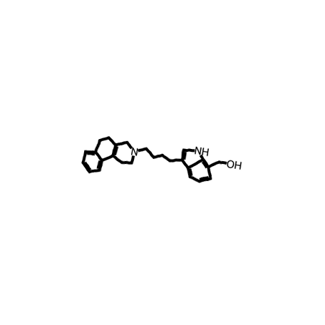 OCc1cccc2c(CCCCN3CCC4=C(CCc5ccccc54)C3)c[nH]c12